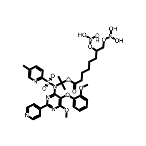 COc1ccccc1Oc1c(OC)nc(-c2ccncc2)nc1N(C(C)(C)OC(=O)CCCCCC(CON(O)O)ON(O)O)S(=O)(=O)c1ccc(C)cn1